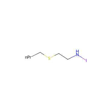 CCCCSCCNI